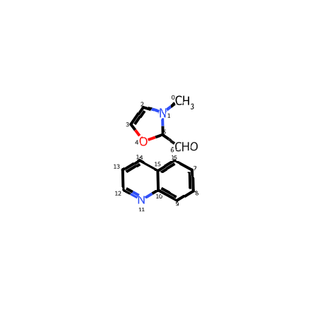 CN1C=COC1C=O.c1ccc2ncccc2c1